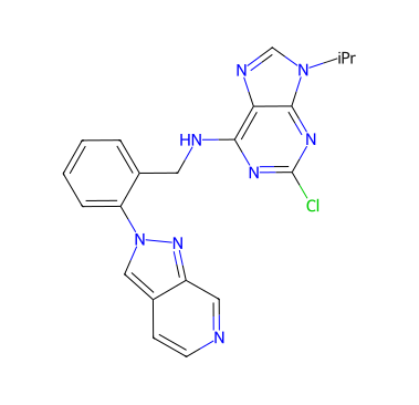 CC(C)n1cnc2c(NCc3ccccc3-n3cc4ccncc4n3)nc(Cl)nc21